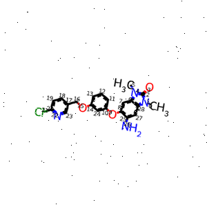 Cn1c(=O)n(C)c2cc(Oc3cccc(OCc4ccc(Cl)nc4)c3)c(N)cc21